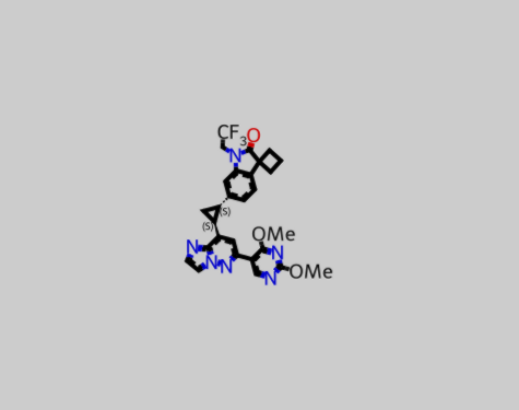 COc1ncc(-c2cc([C@H]3C[C@@H]3c3ccc4c(c3)N(CC(F)(F)F)C(=O)C43CCC3)c3nccn3n2)c(OC)n1